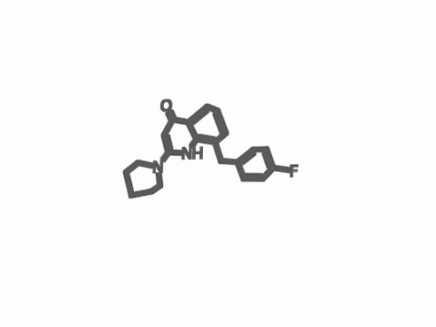 O=c1cc(N2CCCCC2)[nH]c2c(Cc3ccc(F)cc3)cccc12